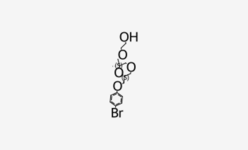 C[C@]1(COCCO)COC[C@@H](COc2ccc(Br)cc2)O1